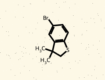 CC1(C)CSc2ccc(Br)cc21